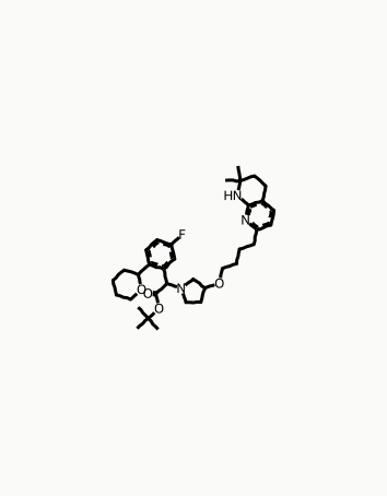 CC1(C)CCc2ccc(CCCCOC3CCN(C(C(=O)OC(C)(C)C)c4cc(F)ccc4C4CCCCO4)C3)nc2N1